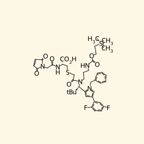 CC(C)(C)[C@H](c1cc(-c2cc(F)ccc2F)cn1Cc1ccccc1)N(CCCNC(=O)OCC[Si](C)(C)C)C(=O)CSC[C@H](NC(=O)CN1C(=O)C=CC1=O)C(=O)O